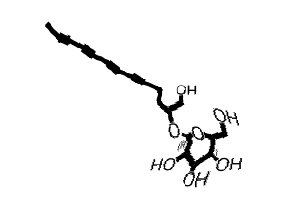 CC#CC#CC#CC#CCCC(CO)O[C@@H]1OC(CO)[C@@H](O)C(O)C1O